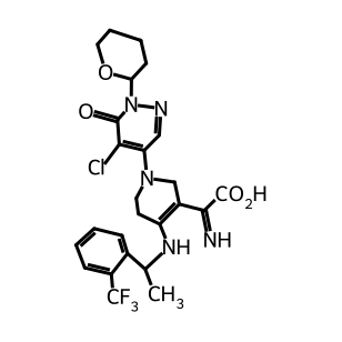 CC(NC1=C(C(=N)C(=O)O)CN(c2cnn(C3CCCCO3)c(=O)c2Cl)CC1)c1ccccc1C(F)(F)F